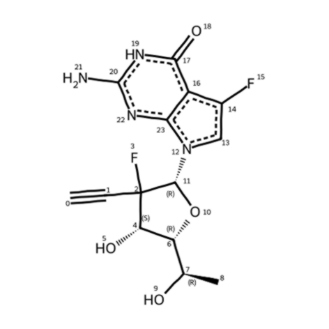 C#CC1(F)[C@@H](O)[C@@H]([C@@H](C)O)O[C@H]1n1cc(F)c2c(=O)[nH]c(N)nc21